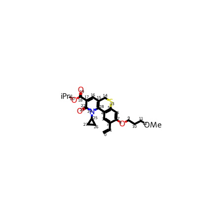 C=Cc1cc2c(cc1OCCCOC)SCc1cc(C(=O)OC(C)C)c(=O)n(C3CC3)c1-2